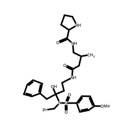 COc1ccc(S(=O)(=O)N(CC(C)C)C(O)(CCNC(=O)CC(C)CNC(=O)C2CCCN2)Cc2ccccc2)cc1